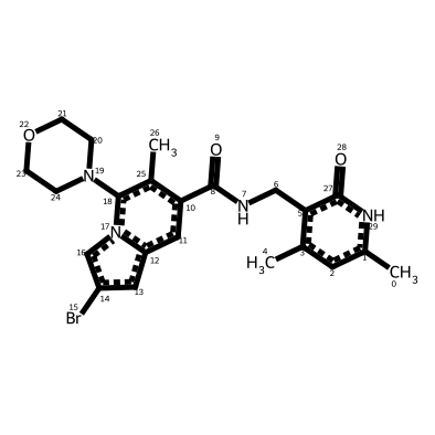 Cc1cc(C)c(CNC(=O)c2cc3cc(Br)cn3c(N3CCOCC3)c2C)c(=O)[nH]1